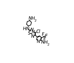 Nc1ncc(-c2nc3sc(NC4CCC(N)CC4)nn3c2Cl)cc1C(F)(F)F